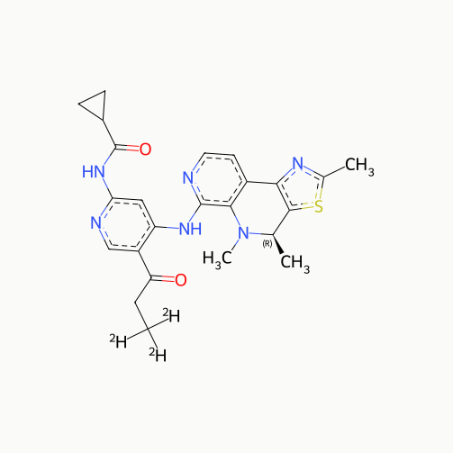 [2H]C([2H])([2H])CC(=O)c1cnc(NC(=O)C2CC2)cc1Nc1nccc2c1N(C)[C@H](C)c1sc(C)nc1-2